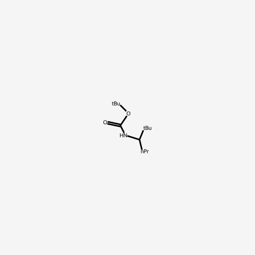 CCCC(NC(=O)OC(C)(C)C)C(C)(C)C